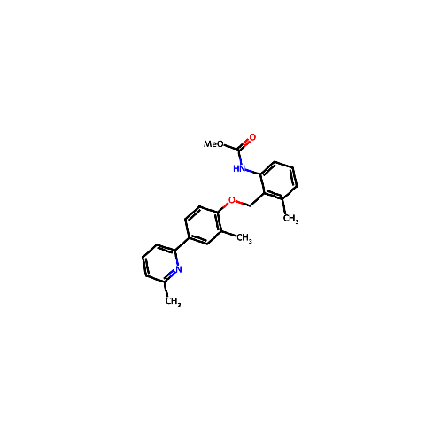 COC(=O)Nc1cccc(C)c1COc1ccc(-c2cccc(C)n2)cc1C